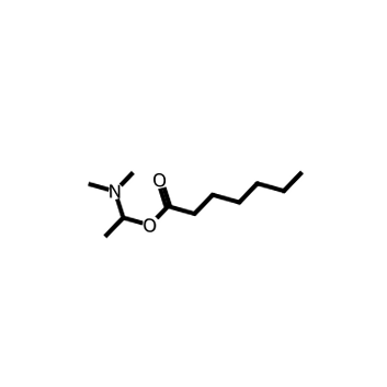 CCCCCCC(=O)OC(C)N(C)C